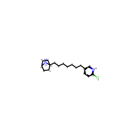 Clc1ccc(CCCCCCCC23CCC(CC2)N3)cn1